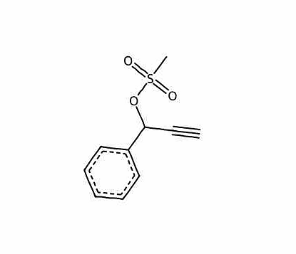 C#CC(OS(C)(=O)=O)c1ccccc1